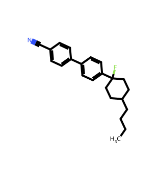 CCCCC1CCC(F)(c2ccc(-c3ccc(C#N)cc3)cc2)CC1